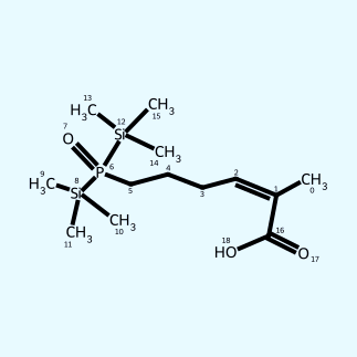 CC(=CCCCP(=O)([Si](C)(C)C)[Si](C)(C)C)C(=O)O